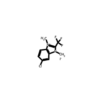 Cn1c(C(F)(F)F)[n+](C)c2ccc(Cl)cc21.[I-]